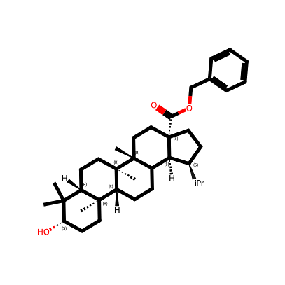 CC(C)[C@@H]1CC[C@]2(C(=O)OCc3ccccc3)CC[C@]3(C)C(CC[C@@H]4[C@@]5(C)CC[C@H](O)C(C)(C)[C@@H]5CC[C@]43C)[C@H]12